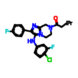 CC(C)CC(=O)N1CCn2c(nc(-c3ccc(F)cc3)c2Nc2ccc(Cl)c(F)c2)C1